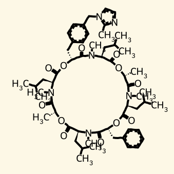 Cc1nccn1Cc1ccc(C[C@H]2OC(=O)[C@H](CC(C)C)N(C)C(=O)[C@@H](C)OC(=O)[C@H](CC(C)C)N(C)C(=O)[C@@H](Cc3ccccc3)OC(=O)[C@H](CC(C)C)N(C)C(=O)[C@@H](C)OC(=O)[C@H](CC(C)C)N(C)C2=O)cc1